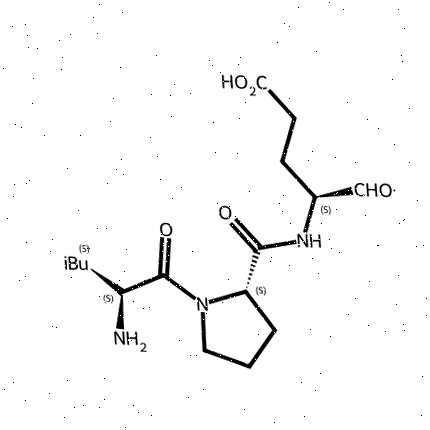 CC[C@H](C)[C@H](N)C(=O)N1CCC[C@H]1C(=O)N[C@H]([C]=O)CCC(=O)O